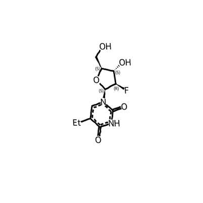 CCc1cn([C@H]2O[C@@H](CO)[C@H](O)[C@H]2F)c(=O)[nH]c1=O